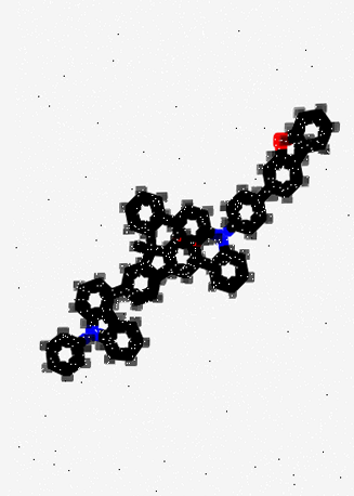 CC1(C)c2ccc(-c3ccccc3N(c3ccc(-c4ccccc4)cc3)c3ccc(-c4ccc5c(c4)oc4ccccc45)cc3)cc2-c2ccc(-c3cccc4c3c3ccccc3n4-c3ccccc3)cc21